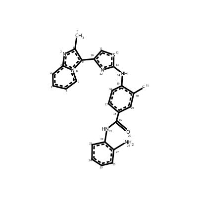 Cc1nc2ccccn2c1-c1csc(Nc2ccc(C(=O)Nc3ccccc3N)cc2F)n1